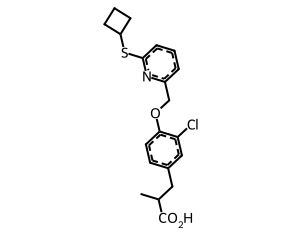 CC(Cc1ccc(OCc2cccc(SC3CCC3)n2)c(Cl)c1)C(=O)O